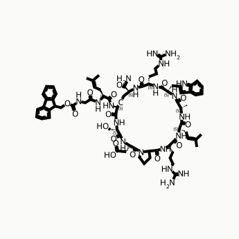 CC(C)=CC[C@H](NC(=O)CNC(=O)OCC1c2ccccc2-c2ccccc21)C(=O)N[C@H]1CC[C@@H](C(N)=O)NC(=O)[C@H](CCCNC(=N)N)NC(=O)[C@H](Cc2cc3ccccc3[nH]2)NC(=O)[C@H](C)NC(=O)[C@H](CC=C(C)C)NC(=O)[C@H](CCCNC(=N)N)NC(=O)C2CCCN2C(=O)[C@H](CC(=O)O)NC(=O)[C@H](CO)NC1=O